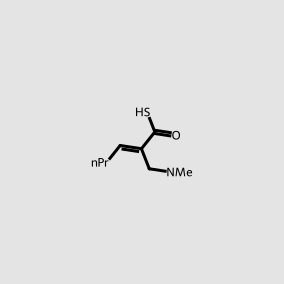 CCC/C=C(\CNC)C(=O)S